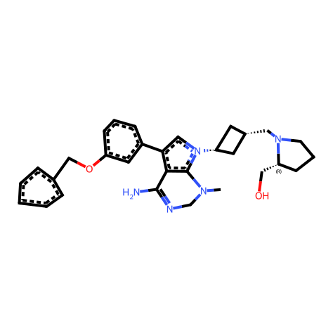 CN1CN=C(N)c2c(-c3cccc(OCc4ccccc4)c3)cn([C@H]3C[C@@H](CN4CCC[C@@H]4CO)C3)c21